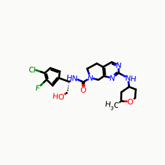 C[C@H]1CC(Nc2ncc3c(n2)CN(C(=O)N[C@H](CO)c2ccc(Cl)c(F)c2)CC3)CCO1